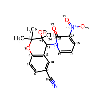 CC1(C)Oc2ccc(C#N)cc2C(n2cccc([N+](=O)[O-])c2=O)C1(C)O